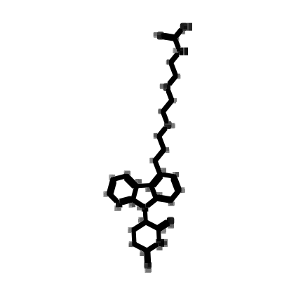 O=C(O)NCCOCCOCCCc1cccc2c1c1cccnc1n2C1CCC(=O)NC1=O